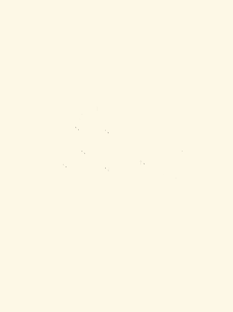 CCN(CC)CCN(CCN(CC)CC)c1ccccc1-c1nc2ncccc2[nH]1